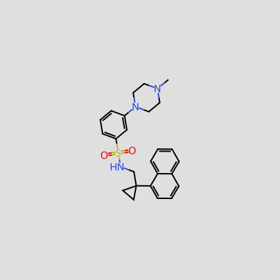 CN1CCN(c2cccc(S(=O)(=O)NCC3(c4cccc5ccccc45)CC3)c2)CC1